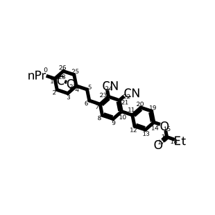 CCCC12CCC(CCc3ccc(-c4ccc(OC(=O)CC)cc4)c(C#N)c3C#N)(CC1)CC2